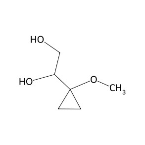 COC1(C(O)CO)CC1